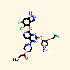 C=CC(=O)N1CCN(c2nc(O[C@@H]3CN(C)CC3OCC(F)F)nc3c(Oc4c(Cl)c(F)cc5[nH]ncc45)nccc23)CC1